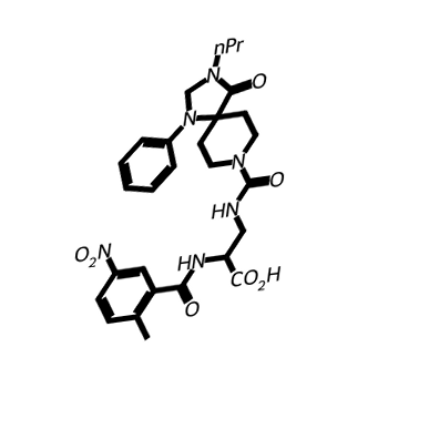 CCCN1CN(c2ccccc2)C2(CCN(C(=O)NCC(NC(=O)c3cc([N+](=O)[O-])ccc3C)C(=O)O)CC2)C1=O